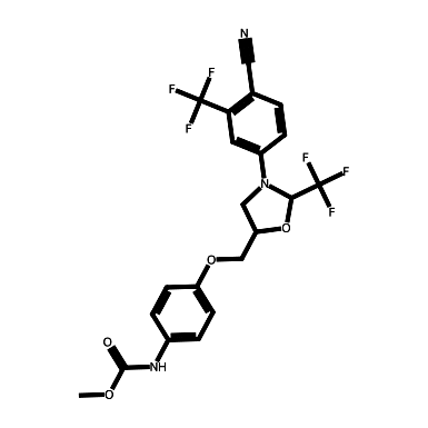 COC(=O)Nc1ccc(OCC2CN(c3ccc(C#N)c(C(F)(F)F)c3)C(C(F)(F)F)O2)cc1